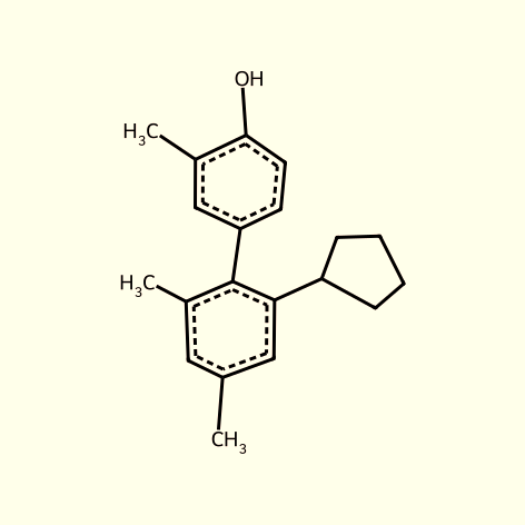 Cc1cc(C)c(-c2ccc(O)c(C)c2)c(C2CCCC2)c1